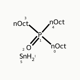 CCCCCCCCP(=O)(CCCCCCCC)CCCCCCCC.[SnH2]